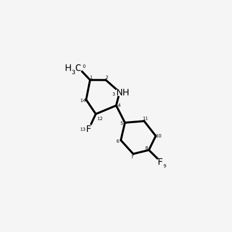 CC1CNC(C2CCC(F)CC2)C(F)C1